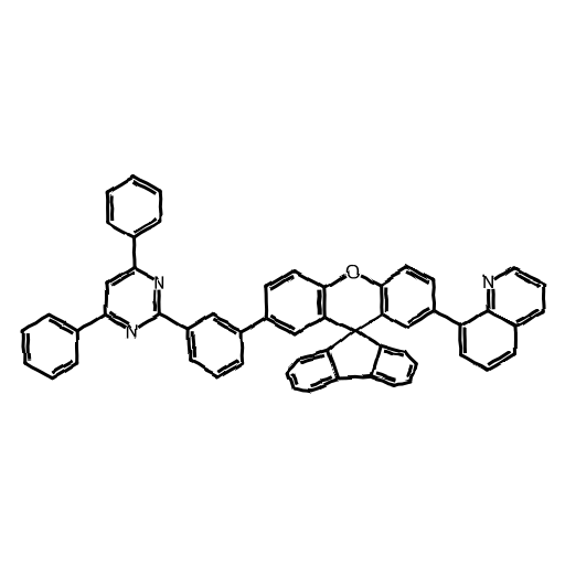 c1ccc(-c2cc(-c3ccccc3)nc(-c3cccc(-c4ccc5c(c4)C4(c6cc(-c7cccc8cccnc78)ccc6O5)c5ccccc5-c5ccccc54)c3)n2)cc1